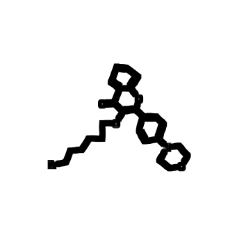 O=c1c(OCCCCCCBr)c(-c2ccc(N3CCOCC3)cc2)oc2ccccc12